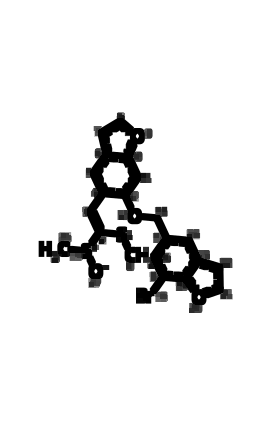 CS/C(=C\c1cc2ccoc2cc1OCc1cc(Br)c2occc2c1)[S+](C)[O-]